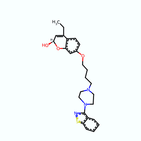 CCC1=C[C@H](O)Oc2cc(OCCCCN3CCN(c4nsc5ccccc45)CC3)ccc21